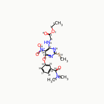 CCOC(=O)CNc1nc(SC)nc(Oc2cccc(C(=O)N(C)C)c2)c1[N+](=O)[O-]